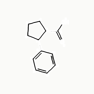 O=C(O)[C@H]1CCC[C@H]1c1ccccc1